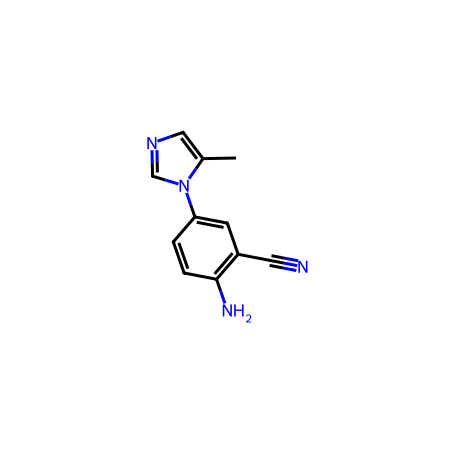 Cc1cncn1-c1ccc(N)c(C#N)c1